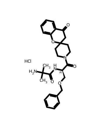 CC(C)(N)C(=O)N[C@H](COCc1ccccc1)C(=O)N1CCC2(CC1)CC(=O)c1ccccc1O2.Cl